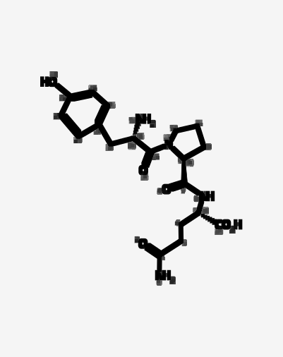 NC(=O)CC[C@H](NC(=O)[C@@H]1CCCN1C(=O)[C@@H](N)Cc1ccc(O)cc1)C(=O)O